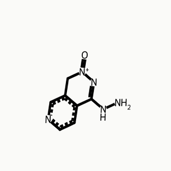 NNC1=N[N+](=O)Cc2cnccc21